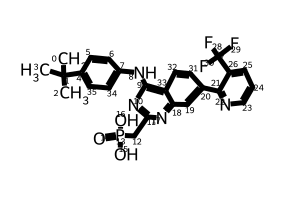 CC(C)(C)c1ccc(Nc2nc(CP(=O)(O)O)nc3cc(-c4ncccc4C(F)(F)F)ccc23)cc1